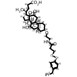 CC(C)Cc1ccc(SSCCC(=O)NCCO[C@H]2CC[C@]3(C)[C@H](C2)C[C@H](O)[C@H]2[C@H]3C[C@@H](O)[C@]3(C)[C@@H]2CC[C@@H]3[C@@H](C)CCC(=O)O)cc1